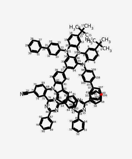 CC(C)(C)c1ccc2c(c1)B1c3cc(C(C)(C)C)ccc3N(c3ccc(-c4ccccc4)cc3)c3cc(-c4ccc5c(c4)c4cc(-c6nc(-c7ccccc7)nc(-c7ccccc7)n6)ccc4n5-c4ccc(C#N)cc4-c4nc(-c5ccccc5)nc(-c5ccccc5)n4)cc(c31)N2c1ccc(-c2ccccc2)cc1